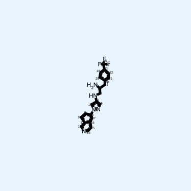 NC(CNc1cnn(-c2ccc3cnccc3c2)c1)Cc1ccc(C(F)(F)F)cc1